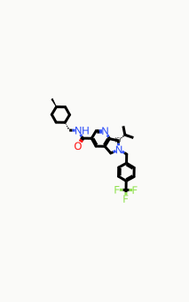 CC(C)[C@H]1c2ncc(C(=O)NC[C@H]3CC[C@H](C)CC3)cc2CN1Cc1ccc(C(F)(F)F)cc1